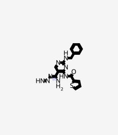 N=N/N=C(\N)c1cnc(NCc2ccccc2)nc1NC(=O)c1cccs1